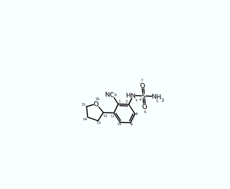 N#Cc1c(NS(N)(=O)=O)cccc1C1CCCO1